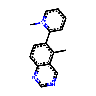 Cc1c(-c2cccc[n+]2C)ccc2ncncc12